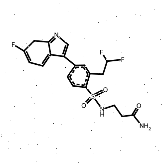 NC(=O)CCNS(=O)(=O)c1ccc(C2=CN=C3CC(F)=CC=C23)cc1CC(F)F